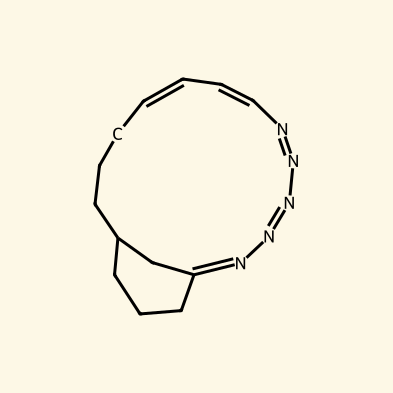 C1=CCCCC2CCCC(=NN=NN=NC=C1)C2